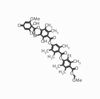 CCc1c(C)c(C(=O)OCOC)c(C)c(C)c1OC(=O)c1c(C)cc(OC(=O)c2c(C)c(C)c(OC(=O)[C@@]3(O)C(C)=CC(=O)C=C3OC)c(Br)c2O)c(C)c1C